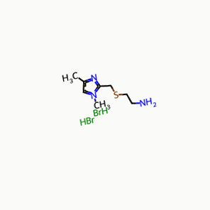 Br.Br.Cc1cn(C)c(CSCCN)n1